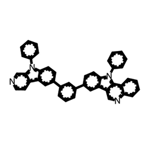 c1ccc(-n2c3ccc(-c4cccc(-c5ccc6c(c5)c5cnc7ccccc7c5n6-c5ccccc5)c4)cc3c3ccncc32)cc1